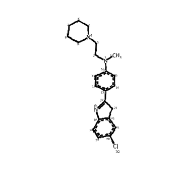 CN(CCN1CCCCC1)c1ccc(C2=Nc3ccc(Cl)cc3C2)cc1